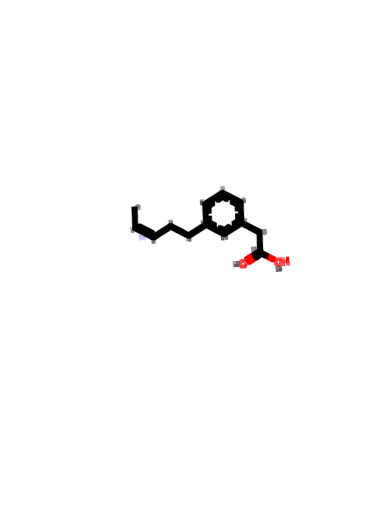 C/C=C\CCc1cccc(CC(=O)O)c1